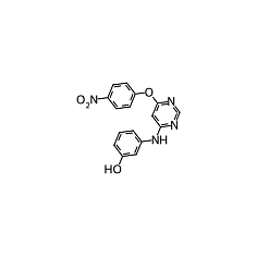 O=[N+]([O-])c1ccc(Oc2cc(Nc3cccc(O)c3)ncn2)cc1